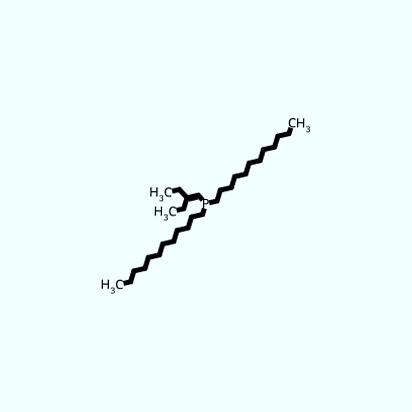 CCCCCCCCCCCCP(C=C(CC)CC)CCCCCCCCCCCC